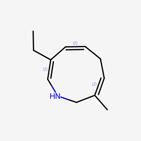 CCC1=C/NC/C(C)=C\C/C=C\1